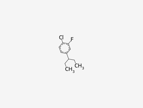 CCC(CC)c1ccc(Cl)c(F)c1